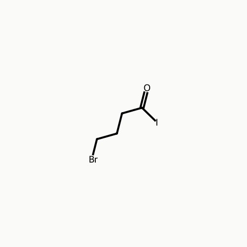 O=C(I)CCCBr